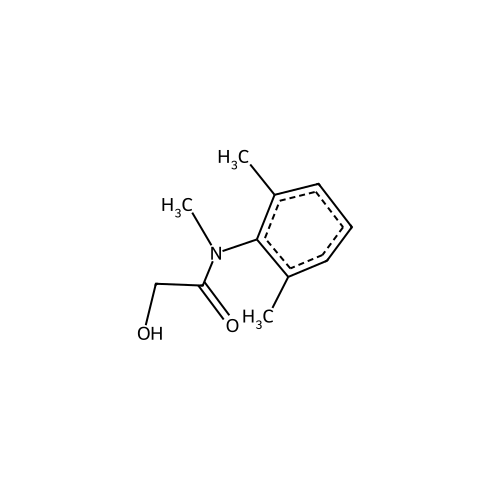 Cc1cccc(C)c1N(C)C(=O)CO